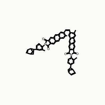 Cc1cc2cc3cc4c(cc3cc2cc1/C=C\c1cc2cc3cc5c(cc3cc2cc1C)C(=O)N(c1ccc(C2CC3C=CC2C3)cc1C)C5=O)C(=O)N(c1ccc(C2CC3C=CC2C3)cc1C)C4=O